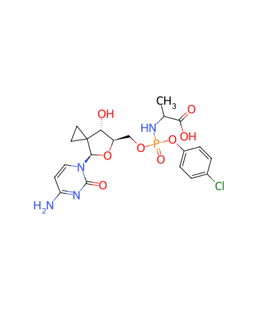 CC(NP(=O)(OC[C@H]1O[C@@H](n2ccc(N)nc2=O)C2(CC2)[C@@H]1O)Oc1ccc(Cl)cc1)C(=O)O